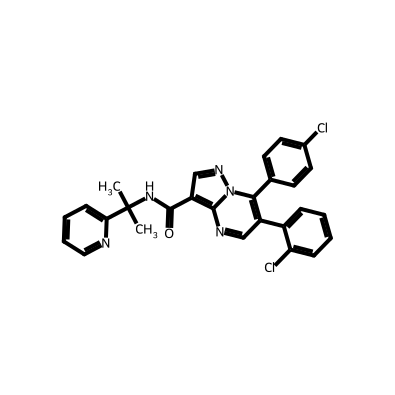 CC(C)(NC(=O)c1cnn2c(-c3ccc(Cl)cc3)c(-c3ccccc3Cl)cnc12)c1ccccn1